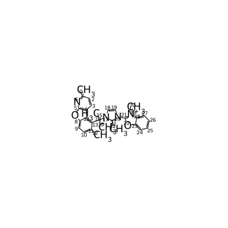 Cc1ccc2c(n1)oc1ccc(C)c(C(C)(C)N3C=CN(c4oc5ccccc5[n+]4C)[C@H]3C)c12